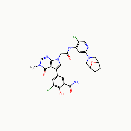 Cn1cnc2c(c(-c3cc(Cl)c(O)c(C(N)=O)c3)cn2CC(=O)Nc2cc(N3CC4CCC(C3)O4)ncc2Cl)c1=O